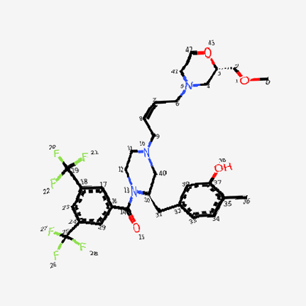 COC[C@@H]1CN(C/C=C\CN2CCN(C(=O)c3cc(C(F)(F)F)cc(C(F)(F)F)c3)[C@H](Cc3ccc(C)c(O)c3)C2)CCO1